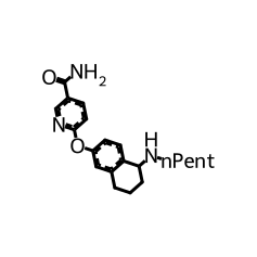 CCCCCNC1CCCc2cc(Oc3ccc(C(N)=O)cn3)ccc21